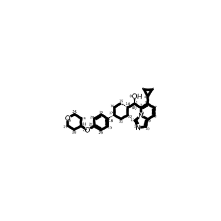 O[C@@H](c1c(C2CC2)ccc2cncn12)[C@H]1CC[C@@H](c2ccc(OC3CCOCC3)cc2)CC1